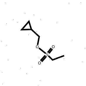 CCS(=O)(=O)OC[C]1CC1